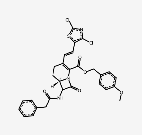 COc1ccc(COC(=O)C2=C(C=Cc3sc(Cl)nc3Cl)CS[C@H]3C(NC(=O)Cc4ccccc4)C(=O)N23)cc1